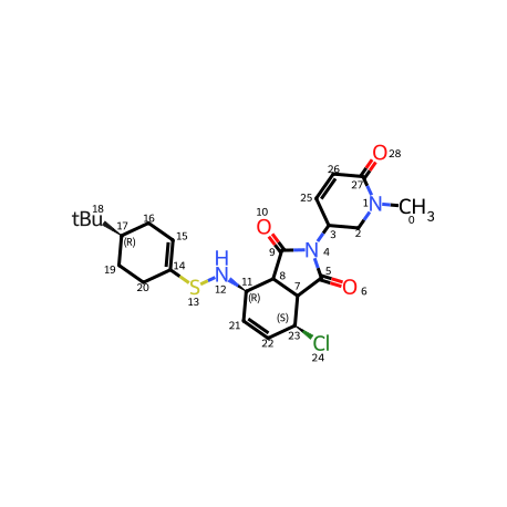 CN1CC(N2C(=O)C3C(C2=O)[C@H](NSC2=CC[C@H](C(C)(C)C)CC2)C=C[C@@H]3Cl)C=CC1=O